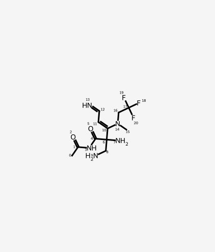 CC(=O)NC(=O)C(N)(CN)/C(=C/C=N)N(C)CC(F)(F)F